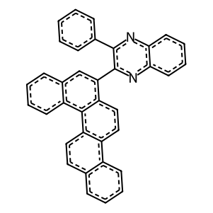 c1ccc(-c2nc3ccccc3nc2-c2cc3ccccc3c3c2ccc2c4ccccc4ccc23)cc1